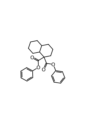 O=C(Oc1ccccc1)C1(C(=O)Oc2ccccc2)CCCC2CCCCC21